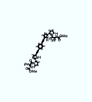 COC(=O)N[C@H](C(=O)N1CCC[C@H]1c1ncc(C#Cc2ccc(C#Cc3cnc([C@@H]4CCCN4C(=O)[C@@H](NC(=O)OC)C(C)C)[nH]3)cc2)[nH]1)C(C)C